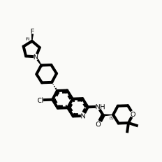 CC1(C)C[C@@H](C(=O)Nc2cc3cc([C@H]4CC[C@H](N5CC[C@@H](F)C5)CC4)c(Cl)cc3cn2)CCO1